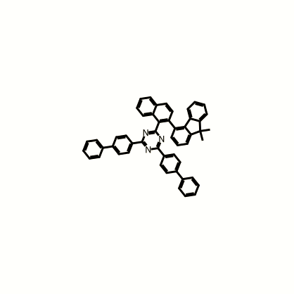 CC1(C)c2ccccc2-c2c(-c3ccc4ccccc4c3-c3nc(-c4ccc(-c5ccccc5)cc4)nc(-c4ccc(-c5ccccc5)cc4)n3)cccc21